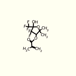 C=C(C)C(=O)OC1C(C)(C)OC(O)(C(F)(F)F)C1(F)F